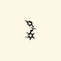 O=S(=O)(C=Cc1c(F)c(F)c(F)c(F)c1F)Cc1ccc(Cl)cc1